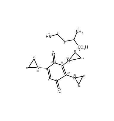 CC(CCS)C(=O)O.O=C1C=C(N2CC2)C(=O)C(N2CC2)=C1N1CC1